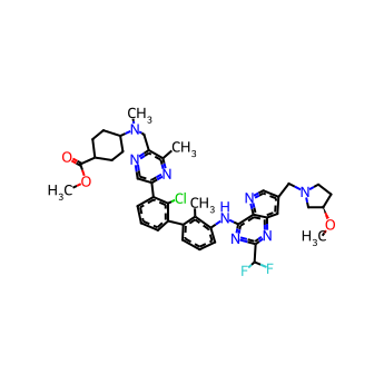 COC(=O)C1CCC(N(C)Cc2ncc(-c3cccc(-c4cccc(Nc5nc(C(F)F)nc6cc(CN7CC[C@@H](OC)C7)cnc56)c4C)c3Cl)nc2C)CC1